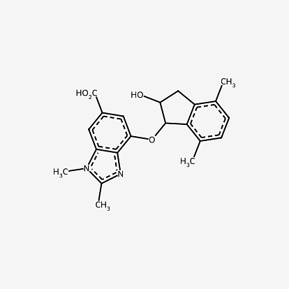 Cc1ccc(C)c2c1CC(O)C2Oc1cc(C(=O)O)cc2c1nc(C)n2C